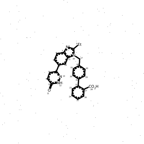 CCc1nc2ccc(-c3ccc(=O)[nH]n3)cc2n1Cc1ccc(-c2ccccc2C(=O)O)cc1